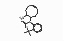 CC(C)(C)c1ccccc1N(C(=O)O)C1CCC=CCCC1N